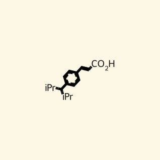 CC(C)C(c1ccc(C=CC(=O)O)cc1)C(C)C